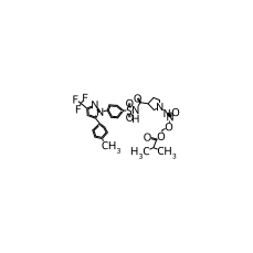 Cc1ccc(-c2cc(C(F)(F)F)nn2-c2ccc(S(=O)(=O)NC(=O)C3CCN(n4on4OCOC(=O)C(C)C)C3)cc2)cc1